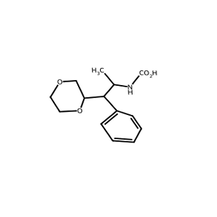 CC(NC(=O)O)C(c1ccccc1)C1COCCO1